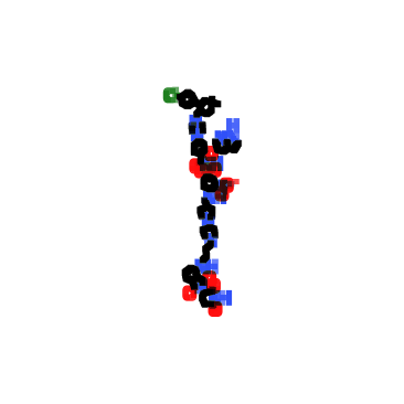 CC1(C)CCC(CN2CCN(c3ccc(C(=O)NS(=O)(=O)c4ccc(NCC5CCN(C6CCN(CCCCNc7cccc8c7C(=O)N(C7CCC(=O)NC7=O)C8=O)CC6)CC5)c([N+](=O)[O-])c4)c(Oc4cnc5[nH]ccc5c4)c3)CC2)=C(c2ccc(Cl)cc2)C1